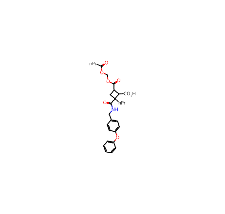 CCCC(=O)OCOC(=O)C1CC(CCC)(C(=O)NCc2ccc(Oc3ccccc3)cc2)C1C(=O)O